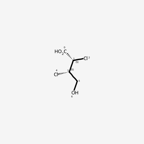 O=C(O)[C@H](Cl)[C@@H](Cl)CO